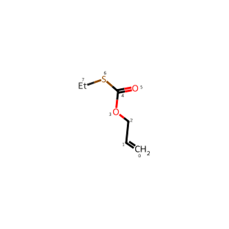 C=CCOC(=O)SCC